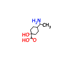 CC(N)C1CCC(O)(C(=O)O)CC1